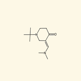 CN(C)/C=C1\CN(C(C)(C)C)CCC1=O